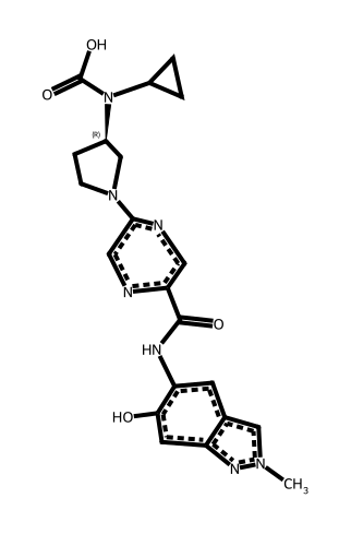 Cn1cc2cc(NC(=O)c3cnc(N4CC[C@@H](N(C(=O)O)C5CC5)C4)cn3)c(O)cc2n1